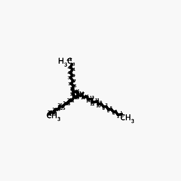 CCCCCCCCCCCCCCCCCC[n+]1cc(CCCCCCCCCCC)cc(CCCCCCCCCCC)c1